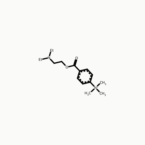 CCN(CC)CCOC(=O)c1ccc([N+](C)(C)C)cc1